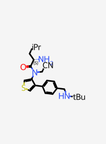 CC(C)C[C@H](N)C(=O)N(CC#N)c1cscc1-c1ccc(CNC(C)(C)C)cc1